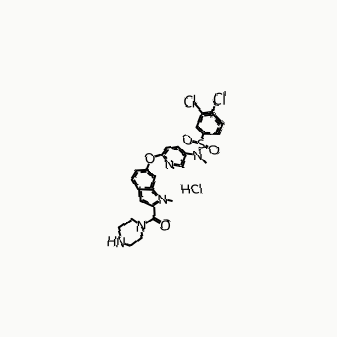 CN(c1ccc(Oc2ccc3cc(C(=O)N4CCNCC4)n(C)c3c2)nc1)S(=O)(=O)c1ccc(Cl)c(Cl)c1.Cl